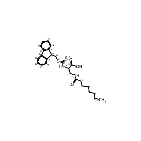 CCCCCCCC(=O)NCC(NC(=O)OCC1c2ccccc2-c2ccccc21)C(=O)O